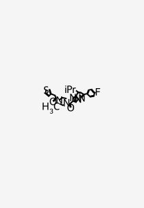 CC(C)c1cc(-c2ccc(F)cc2)nn2cc(C(=O)N3CCN(C(=O)Cc4ccsc4)[C@@H](C)C3)nc12